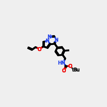 C=CCOc1cc2c(-c3ccc(CNC(=O)OC(C)(C)C)c(C)c3)ncnn2c1